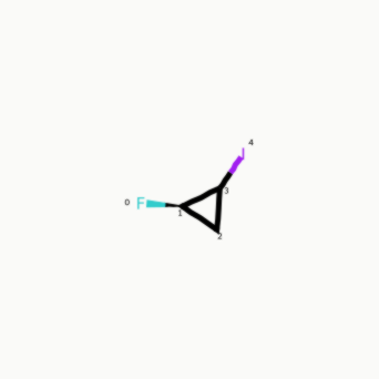 F[C@@H]1CC1I